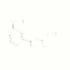 CCCCCC(CC)OC(=O)c1cccc(C(=O)O)c1